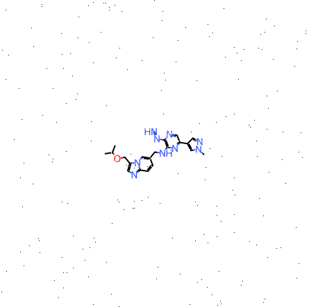 CC(C)OCc1cnc2ccc(CNc3nc(-c4cnn(C)c4)cnc3N=N)cn12